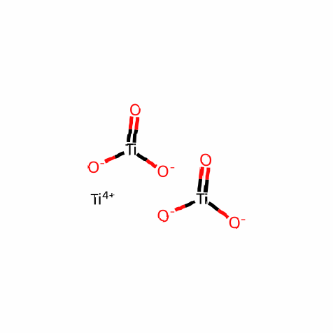 [O]=[Ti]([O-])[O-].[O]=[Ti]([O-])[O-].[Ti+4]